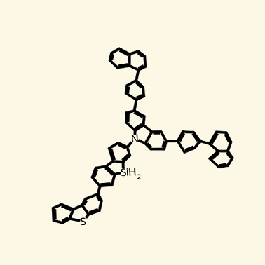 c1ccc2c(-c3ccc(-c4ccc5c(c4)c4cc(-c6ccc(-c7cccc8ccccc78)cc6)ccc4n5-c4ccc5c(c4)[SiH2]c4cc(-c6ccc7sc8ccccc8c7c6)ccc4-5)cc3)cccc2c1